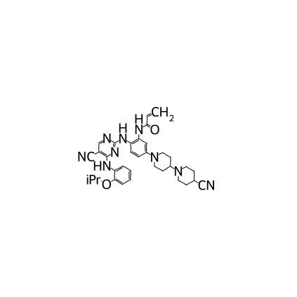 C=CC(=O)Nc1cc(N2CCC(N3CCC(C#N)CC3)CC2)ccc1Nc1ncc(C#N)c(Nc2ccccc2OC(C)C)n1